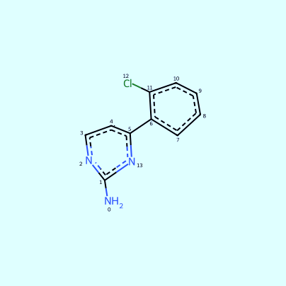 Nc1nc[c]c(-c2ccccc2Cl)n1